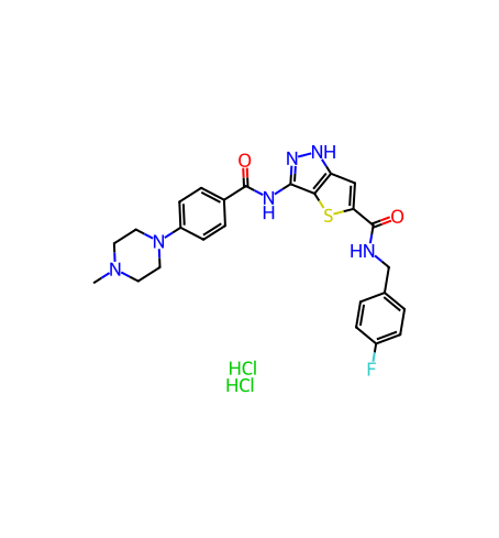 CN1CCN(c2ccc(C(=O)Nc3n[nH]c4cc(C(=O)NCc5ccc(F)cc5)sc34)cc2)CC1.Cl.Cl